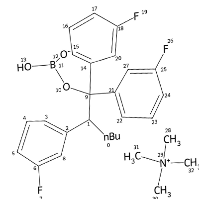 CCCCC(c1cccc(F)c1)C(OB([O-])O)(c1cccc(F)c1)c1cccc(F)c1.C[N+](C)(C)C